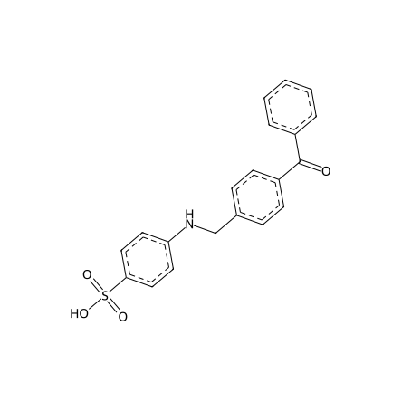 O=C(c1ccccc1)c1ccc(CNc2ccc(S(=O)(=O)O)cc2)cc1